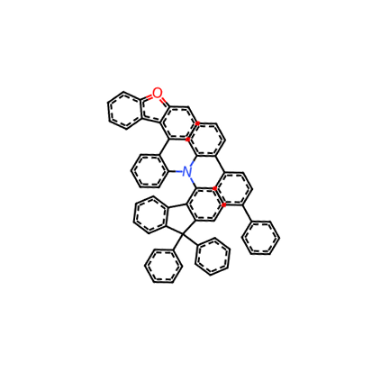 c1ccc(-c2ccc(-c3ccccc3N(c3ccccc3-c3cccc4oc5ccccc5c34)c3cccc4c3-c3ccccc3C4(c3ccccc3)c3ccccc3)cc2)cc1